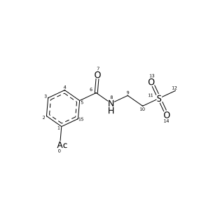 CC(=O)c1cccc(C(=O)NCCS(C)(=O)=O)c1